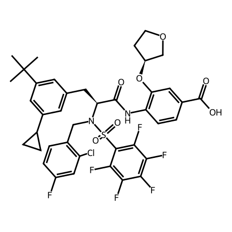 CC(C)(C)c1cc(C[C@@H](C(=O)Nc2ccc(C(=O)O)cc2O[C@H]2CCOC2)N(Cc2ccc(F)cc2Cl)S(=O)(=O)c2c(F)c(F)c(F)c(F)c2F)cc(C2CC2)c1